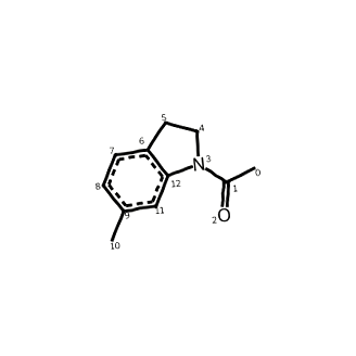 CC(=O)N1CCc2ccc(C)cc21